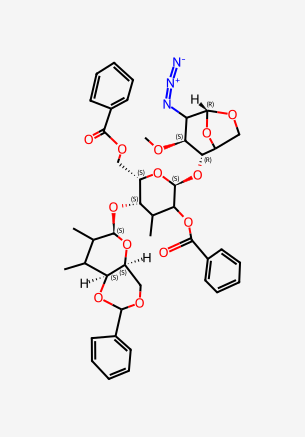 CO[C@H]1C(N=[N+]=[N-])[C@@H]2OCC(O2)[C@@H]1O[C@@H]1O[C@@H](COC(=O)c2ccccc2)[C@@H](O[C@H]2O[C@H]3COC(c4ccccc4)O[C@H]3C(C)C2C)C(C)C1OC(=O)c1ccccc1